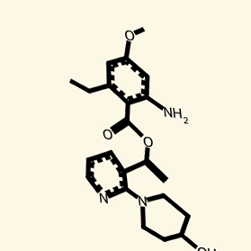 C=C(OC(=O)c1c(N)cc(OC)cc1CC)c1cccnc1N1CCC(O)CC1